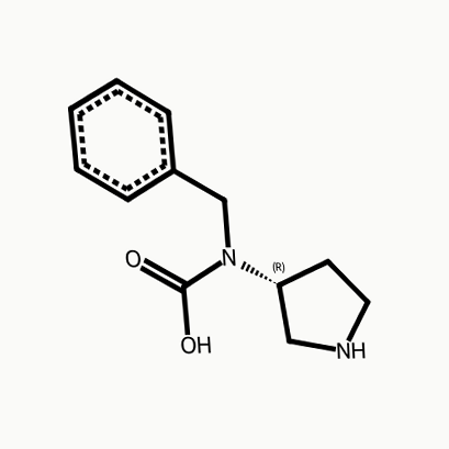 O=C(O)N(Cc1ccccc1)[C@@H]1CCNC1